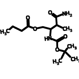 CCCC(=O)OCC(NC(=O)OC(C)(C)C)C(C)C(N)=O